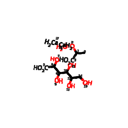 CC(O)C(=O)O.O.O=C(O)C(O)C(O)C(O)C(O)CO.[CaH2].[CaH2]